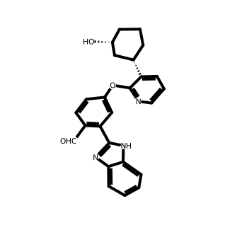 O=Cc1ccc(Oc2ncccc2[C@H]2CCC[C@@H](O)C2)cc1-c1nc2ccccc2[nH]1